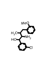 COc1ccccc1CC(C)C(N)C(O)c1cccc(Cl)c1